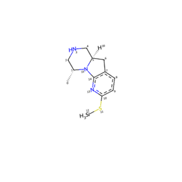 C[C@@H]1CNC[C@H]2Cc3ccc(S[SiH3])nc3N21